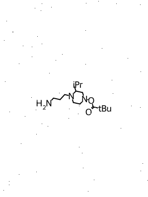 CC(C)C1CN(OC(=O)C(C)(C)C)CCN1CCCN